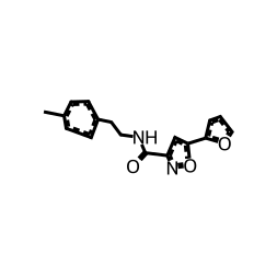 Cc1ccc(CCNC(=O)c2cc(-c3ccco3)on2)cc1